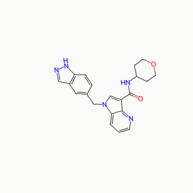 O=C(NC1CCOCC1)c1cn(Cc2ccc3[nH]ncc3c2)c2cccnc12